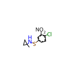 CC1(NSc2ccc(Cl)c([N+](=O)[O-])c2)CC1